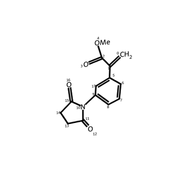 C=C(C(=O)OC)c1cccc(N2C(=O)CCC2=O)c1